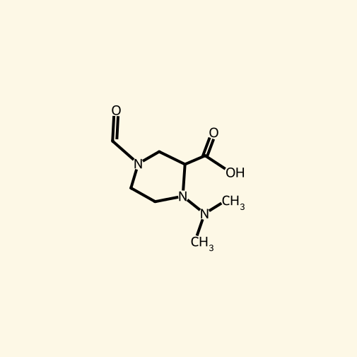 CN(C)N1CCN(C=O)CC1C(=O)O